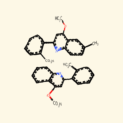 Cc1ccc2nc(-c3ccccc3C(=O)O)cc(OC(=O)O)c2c1.O=C(O)Oc1cc(-c2ccccc2C(=O)O)nc2ccccc12